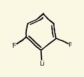 [Li][c]1c(F)cccc1F